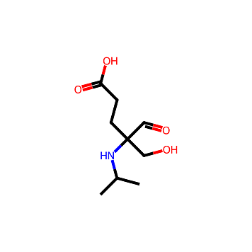 CC(C)NC(C=O)(CO)CCC(=O)O